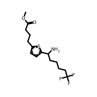 COC(=O)CCCc1ccc(C(N)CCCCC(F)(F)F)s1